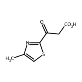 Cc1csc(C(=O)CC(=O)O)n1